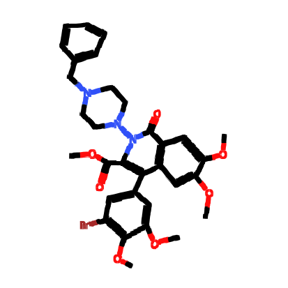 COC(=O)c1c(-c2cc(Br)c(OC)c(OC)c2)c2cc(OC)c(OC)cc2c(=O)n1N1CCN(Cc2ccccc2)CC1